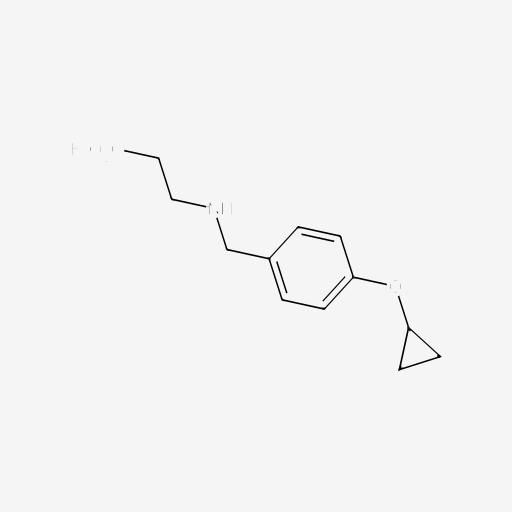 CCOC(=O)CCNCc1ccc(OC2CC2)cc1